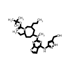 CCCC1CC(N(C)c2nc(Nc3cc(CO)[nH]n3)c3ccsc3n2)CCC(CC)N(C(=O)OC(C)(C)C)C1